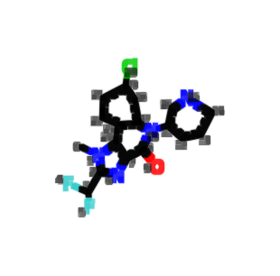 Cn1c(C(F)F)nc2c(=O)n(-c3cccnc3)c3cc(Cl)ccc3c21